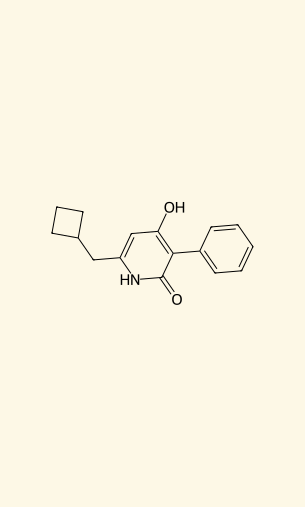 O=c1[nH]c(CC2CCC2)cc(O)c1-c1ccccc1